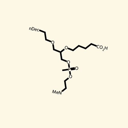 CCCCCCCCCCCCOCC(COP(C)(=O)OCCNC)OCCCCC(=O)O